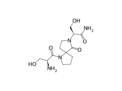 NC(=O)[C@H](CO)N1CCC2(CCCN2C(=O)[C@@H](N)CO)C1=O